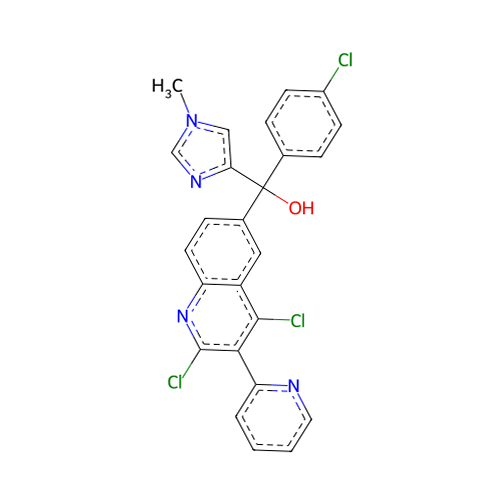 Cn1cnc(C(O)(c2ccc(Cl)cc2)c2ccc3nc(Cl)c(-c4ccccn4)c(Cl)c3c2)c1